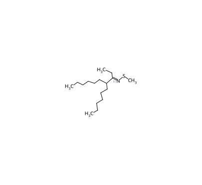 CCCCCCC(CCCCCC)/C(CC)=N/SC